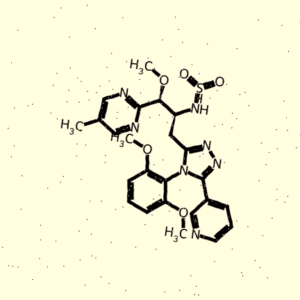 COc1cccc(OC)c1-n1c(C[C@H](N[SH](=O)=O)[C@H](OC)c2ncc(C)cn2)nnc1-c1cccnc1